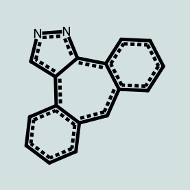 c1ccc2c3cnnc-3c3ccccc3cc2c1